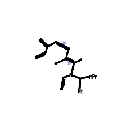 C=CC(=C)/C=C\C(C)=C(/C)N(C=C)C(CC)CCC